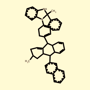 CC1CC=C2C(C1)C(c1ccc3ccccc3c1)C1C=CC=CC1C2C1=CC=C(N2c3ccccc3NC2(C)c2ccccc2)CC1